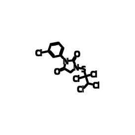 O=C1CN(SC(Cl)(Cl)C(Cl)Cl)C(=O)N1c1cccc(Cl)c1